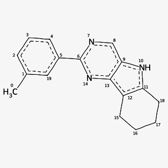 Cc1cccc(-c2ncc3[nH]c4c(c3n2)CCCC4)c1